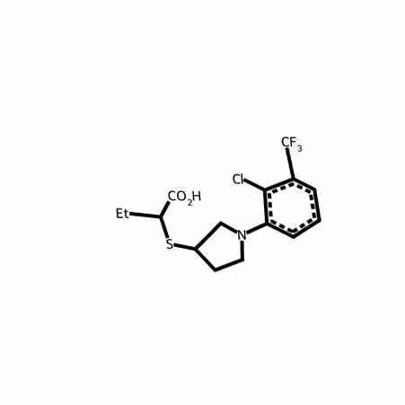 CCC(SC1CCN(c2cccc(C(F)(F)F)c2Cl)C1)C(=O)O